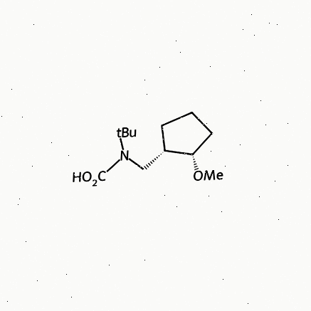 CO[C@H]1CCC[C@H]1CN(C(=O)O)C(C)(C)C